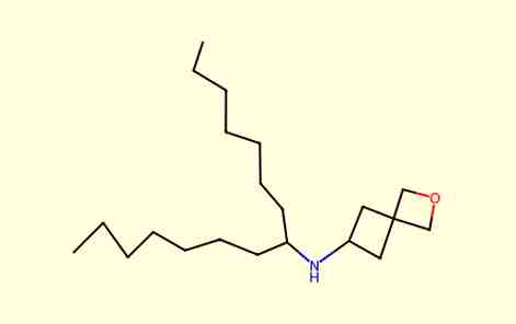 CCCCCCCC(CCCCCCC)NC1CC2(COC2)C1